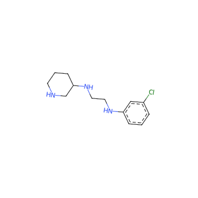 Clc1cccc(NCCNC2CCCNC2)c1